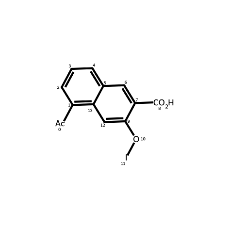 CC(=O)c1cccc2cc(C(=O)O)c(OI)cc12